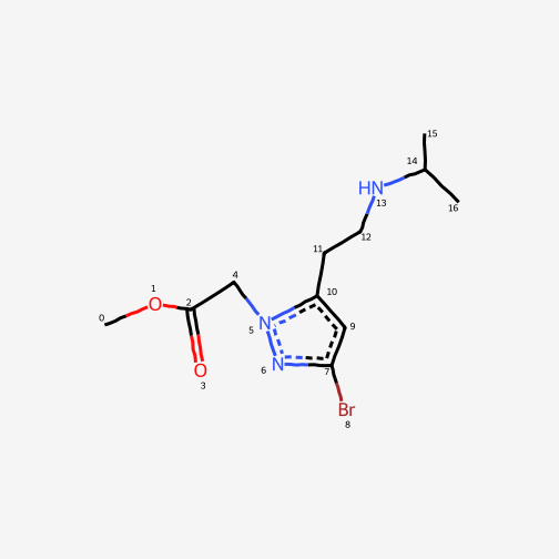 COC(=O)Cn1nc(Br)cc1CCNC(C)C